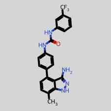 Cc1ccc(-c2ccc(NC(=O)Nc3cccc(C(F)(F)F)c3)cc2)c2c(N)n[nH]c12